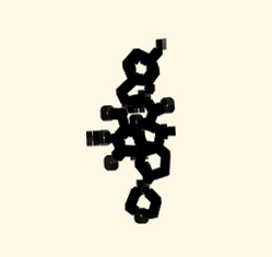 CN(C)C(=O)C(=O)N(C)C12CCC(N3CCOCC3)(CC1)Cn1c2nc(C(=O)NCc2ccc(F)cc2)c(O)c1=O